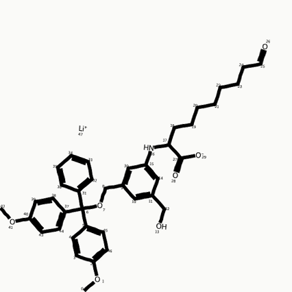 COc1ccc(C(OCc2cc(CO)cc(NC(CCCCCCCC=O)C(=O)[O-])c2)(c2ccccc2)c2ccc(OC)cc2)cc1.[Li+]